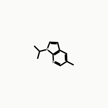 Cc1cnc2c(ccn2C(C)C)c1